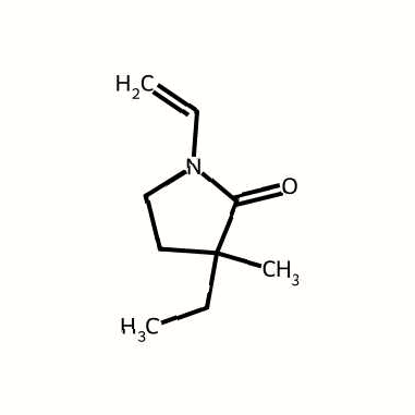 C=CN1CCC(C)(CC)C1=O